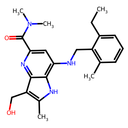 CCc1cccc(C)c1CNc1cc(C(=O)N(C)C)nc2c(CO)c(C)[nH]c12